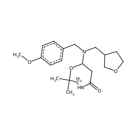 COc1ccc(CN(CC2CCOC2)C(CC([NH])=O)OC(C)(C)C)cc1